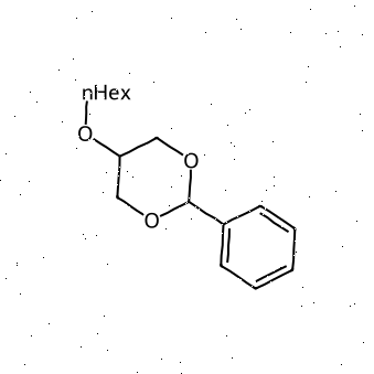 CCCCCCOC1COC(c2ccccc2)OC1